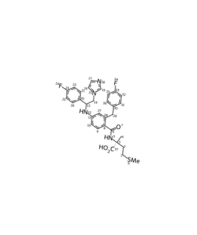 CSCC[C@](C)(NC(=O)c1ccc(NC(Cn2ccnc2)c2ccc(F)cc2)cc1Cc1ccc(F)cc1)C(=O)O